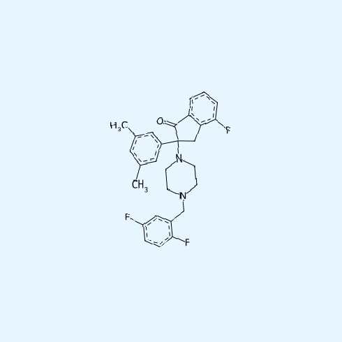 Cc1cc(C)cc(C2(N3CCN(Cc4cc(F)ccc4F)CC3)Cc3c(F)cccc3C2=O)c1